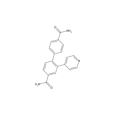 NC(=O)c1ccc(-c2ccc(C(N)=O)cc2-c2ccncc2)cc1